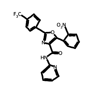 O=C(Nc1ccccn1)c1nc(-c2ccc(C(F)(F)F)cc2)oc1-c1ccccc1[N+](=O)[O-]